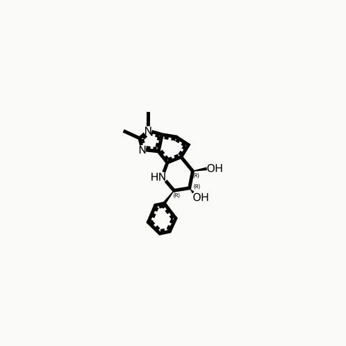 Cc1nc2c3c(ccc2n1C)[C@@H](O)[C@H](O)[C@@H](c1ccccc1)N3